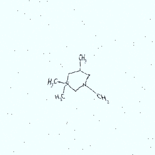 CC1CN(C)C[Si](C)(C)C1